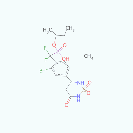 C.CCC(C)OP(=O)(O)C(F)(F)c1ccc(C2CC(=O)NS(=O)(=O)N2)cc1Br